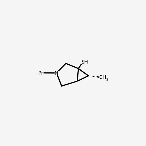 CC(C)N1CC2[C@@H](C)C2(S)C1